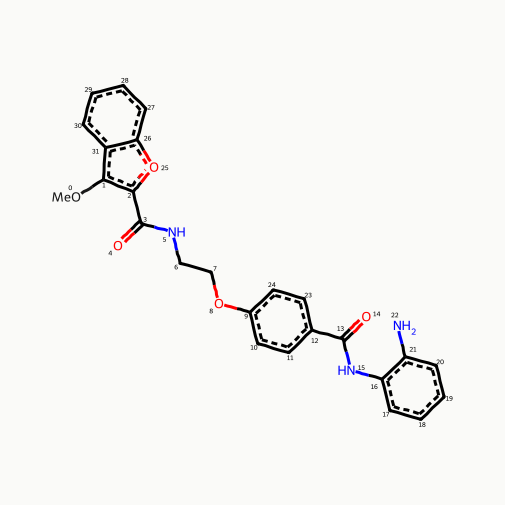 COc1c(C(=O)NCCOc2ccc(C(=O)Nc3ccccc3N)cc2)oc2ccccc12